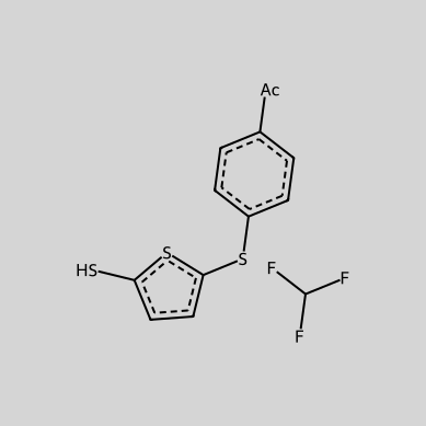 CC(=O)c1ccc(Sc2ccc(S)s2)cc1.FC(F)F